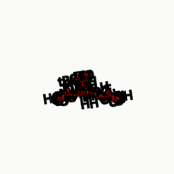 CCC(COC(C)(C)C)NC(=O)CC[C@H](NC(=O)CCCN1C(=O)C=CC1=O)C(=O)NCCCC(=O)N(CC(=O)N[C@@H](C)C(=O)Nc1ccc(COC(=O)NCc2c3c(nc4cc(F)c(OC)cc24)-c2cc4c(c(=O)n2C3)COC(=O)[C@]4(O)CC)cc1)CC(=O)N[C@@H](C)C(=O)Nc1ccc(COC(=O)NCc2c3c(nc4cc(F)c(OC)cc24)-c2cc4c(c(=O)n2C3)COC(=O)[C@]4(O)CC)cc1